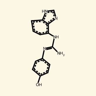 NC(=Nc1ccc(O)cc1)Nc1cccc2[nH]cnc12